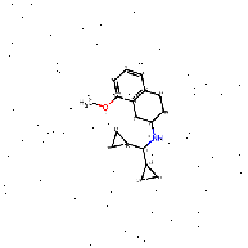 COc1cccc2c1CC(NC(C1CC1)C1CC1)CC2